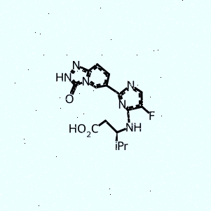 CC(C)[C@@H](CC(=O)O)Nc1nc(-c2ccc3n[nH]c(=O)n3c2)ncc1F